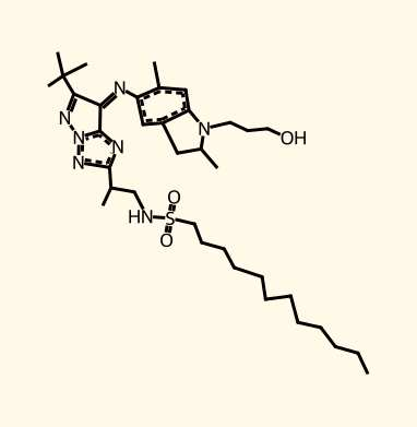 CCCCCCCCCCCCS(=O)(=O)NCC(C)c1nc2n(n1)N=C(C(C)(C)C)/C2=N/c1cc2c(cc1C)N(CCCO)C(C)C2